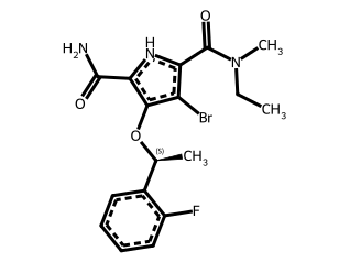 CCN(C)C(=O)c1[nH]c(C(N)=O)c(O[C@@H](C)c2ccccc2F)c1Br